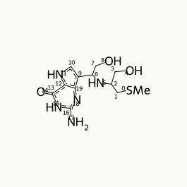 CSCC(CO)NC(CO)c1c[nH]c2c(=O)[nH]c(N)nc12